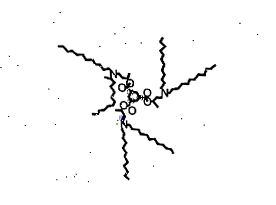 CCCCCCCCCCCCN(/C=C/C(C)OC(=O)[C@H]1C[C@@H](C(=O)OC(C)CCN(CCCCCCCCCCCC)C(C)CCCCCCCCCCC)C[C@@H](C(=O)OC(C)CCN(CCCCCCCCCCCC)CCCCCCCCCCCC)C1)CCCCCCCCCCCC